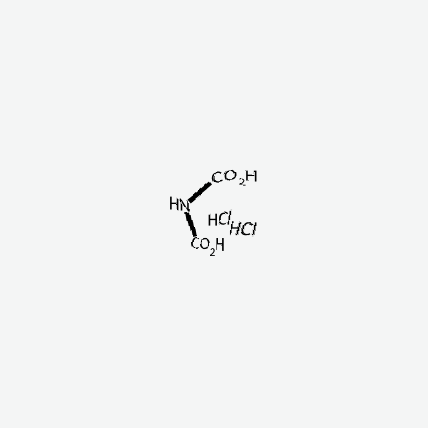 Cl.Cl.O=C(O)NC(=O)O